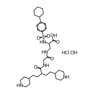 Cl.Cl.O=C(CNC(=O)C(CCC1CCNCC1)CCC1CCNCC1)NCC(NS(=O)(=O)c1ccc(C2CCCCC2)cc1)C(=O)O